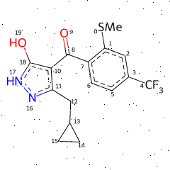 CSc1cc(C(F)(F)F)ccc1C(=O)c1c(CC2CC2)n[nH]c1O